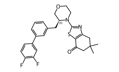 CC1(C)CC(=O)c2sc(N3CCOC[C@@H]3Cc3cccc(-c4ccc(F)c(F)c4)c3)nc2C1